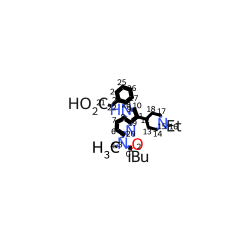 CCC(C)C(=O)N(C)c1ccc2[nH]cc(C3CCN(CC)CC3)c2n1.O=C(O)Cc1ccccc1